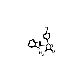 C=C1C(=O)OC(c2ccc(Cl)cc2)C1c1cc2ccccc2s1